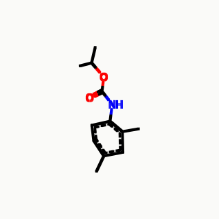 Cc1ccc(NC(=O)OC(C)C)c(C)c1